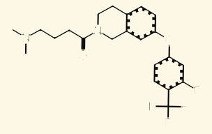 CN(C)CCCC(=O)N1CCc2ccc(Oc3ccc(C(F)(F)F)c(F)c3)cc2C1